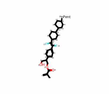 C=C(C)C(=O)OCC(CO)c1ccc(/C(F)=C(\F)C2CCC(C3CCC(CCCCC)CC3)CC2)cc1